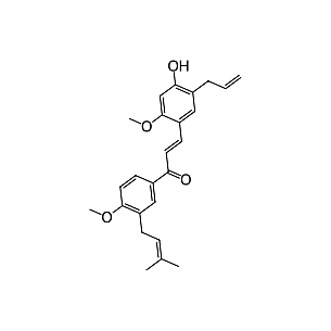 C=CCc1cc(/C=C/C(=O)c2ccc(OC)c(CC=C(C)C)c2)c(OC)cc1O